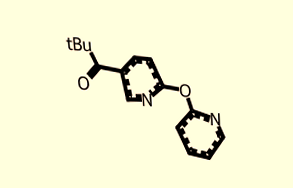 CC(C)(C)C(=O)c1ccc(Oc2ccccn2)nc1